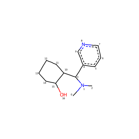 CN(C)C(c1cccnc1)C1CCCCC1O